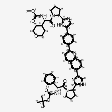 COC(=O)N[C@H](C(=O)N1CCC[C@H]1c1ncc(-c2ccc(-c3ccc4cc(-c5c[nH]c(C6CCCN6C(=O)[C@H](NC(=O)OC(C)(C)C)c6ccccc6)n5)ccc4n3)cc2)[nH]1)C1CCOCC1